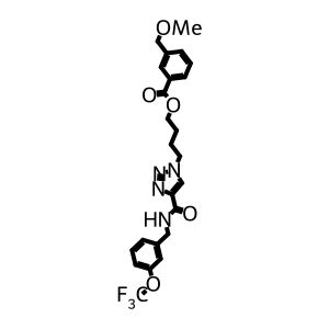 COCc1cccc(C(=O)OCCCCn2cc(C(=O)NCc3cccc(OC(F)(F)F)c3)nn2)c1